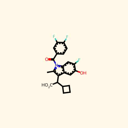 Cc1c(C(C(=O)O)C2CCC2)c2cc(O)c(F)cc2n1C(=O)c1ccc(F)c(F)c1